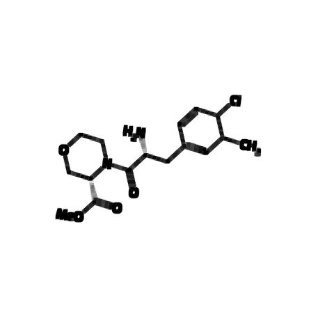 COC(=O)[C@@H]1COCCN1C(=O)[C@H](N)CC1=CC(C)C(Cl)C=C1